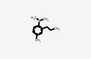 CCCc1cc(C)ccc1N(C)C